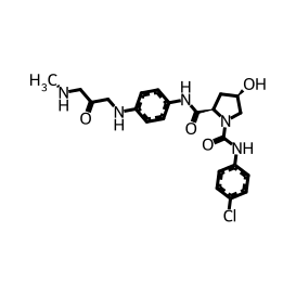 CNCC(=O)CNc1ccc(NC(=O)[C@H]2C[C@@H](O)CN2C(=O)Nc2ccc(Cl)cc2)cc1